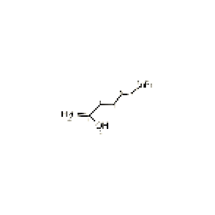 C=C(O)CCCCCCC